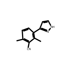 Cc1ccc(-c2cc[nH]n2)c(C)c1C#N